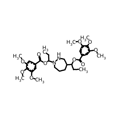 CCC(OC(=O)c1cc(OC)c(OC)c(OC)c1)C1CCCN(C(CC)OC(=O)c2cc(OC)c(OC)c(OC)c2)NC1